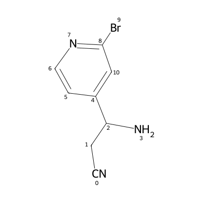 N#CCC(N)c1ccnc(Br)c1